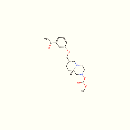 COC(=O)c1cccc(OC[C@@H]2CC[C@H]3CN(OC(=O)OC(C)(C)C)CCN3C2)c1